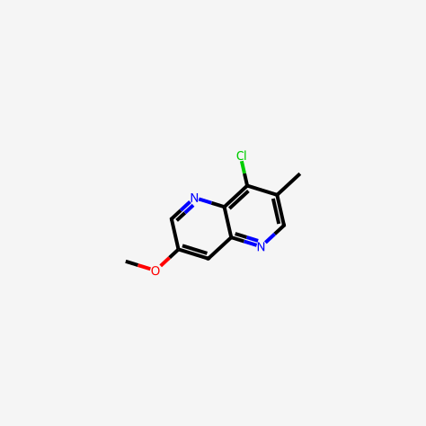 COc1cnc2c(Cl)c(C)cnc2c1